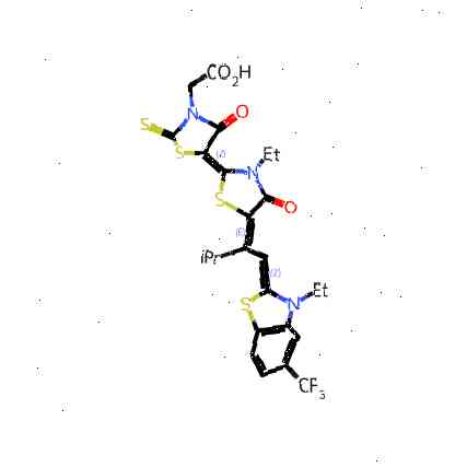 CCN1/C(=C/C(=c2/s/c(=C3\SC(=S)N(CC(=O)O)C3=O)n(CC)c2=O)C(C)C)Sc2ccc(C(F)(F)F)cc21